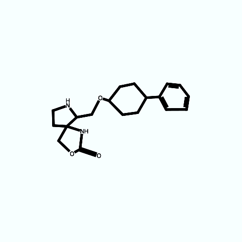 O=C1NC2(CCNC2COC2CCC(c3ccccc3)CC2)CO1